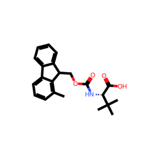 Cc1cccc2c1C(COC(=O)N[C@H](C(=O)O)C(C)(C)C)c1ccccc1-2